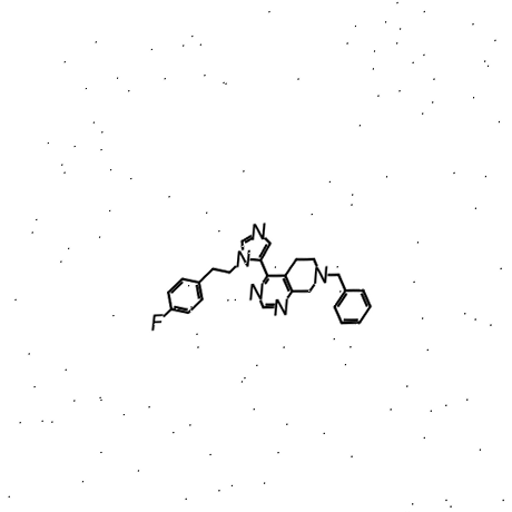 Fc1ccc(CCn2cncc2-c2ncnc3c2CCN(Cc2ccccc2)C3)cc1